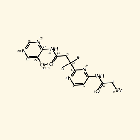 CC(C)CC(=O)Nc1ccnc(C(C)(C)CC(=O)Nc2ncncc2O)n1